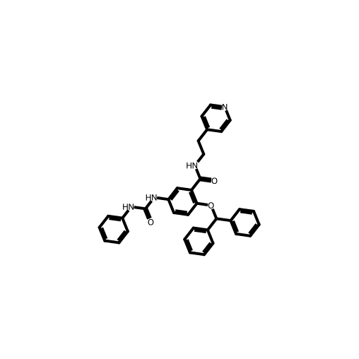 O=C(Nc1ccccc1)Nc1ccc(OC(c2ccccc2)c2ccccc2)c(C(=O)NCCc2ccncc2)c1